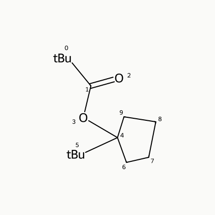 CC(C)(C)C(=O)OC1(C(C)(C)C)CCCC1